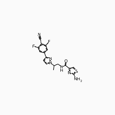 CC(CNC(=O)c1csc(N)n1)n1ccc(-c2cc(F)c(C#N)c(F)c2)n1